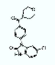 O=C(c1ccc(-n2c(=O)[nH]c3ccc(Cl)cc32)cc1)N1CCOCC1